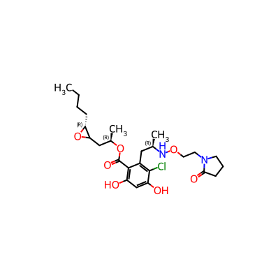 CCCC[C@H]1OC1C[C@@H](C)OC(=O)c1c(O)cc(O)c(Cl)c1C[C@@H](C)NOCCN1CCCC1=O